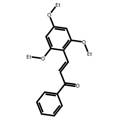 CCOc1cc(OCC)c(C=CC(=O)c2ccccc2)c(OCC)c1